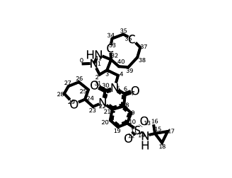 CN1CC(Cn2c(=O)c3cc(S(=O)(=O)NC4(C)CC4)ccc3n(CC3CCCCO3)c2=O)C2(CCCCCCCC2)N1